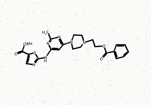 COC(=O)c1cnc(Nc2cc(N3CCN(CCOC(=O)c4ccccc4)CC3)nc(C)n2)s1